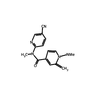 C=C1C=C(C(=O)N(C)c2ccc(C#N)cn2)C=CN1NC